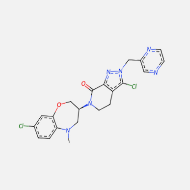 CN1C[C@H](N2CCc3c(nn(Cc4cnccn4)c3Cl)C2=O)COc2cc(Cl)ccc21